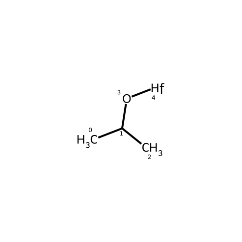 CC(C)[O][Hf]